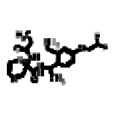 CCC(=O)NC1(C(=O)NC(C)c2ccc(OCC(F)F)cc2CN)C=NC=CN1